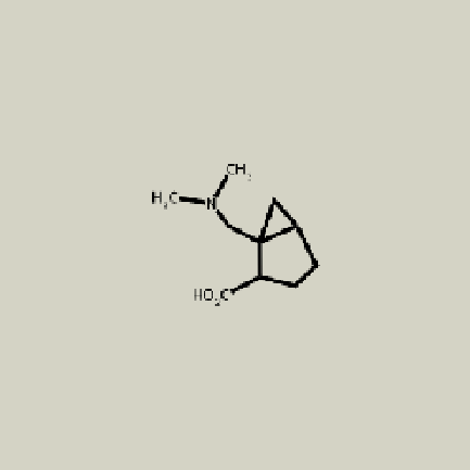 CN(C)CC12CC1CCC2C(=O)O